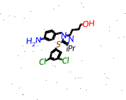 CC(C)c1nc(CCCO)n(Cc2ccc(N)cc2)c1Sc1cc(Cl)cc(Cl)c1